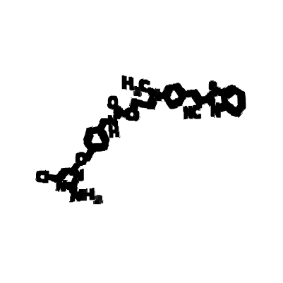 CN(CCOC(=O)NCc1ccc(COc2cc(Cl)nc(N)n2)cc1)c1ccc(/C=C(\C#N)c2nc3ccccc3s2)cc1